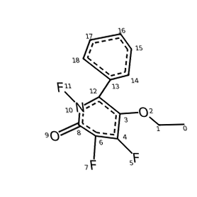 CCOc1c(F)c(F)c(=O)n(F)c1-c1ccccc1